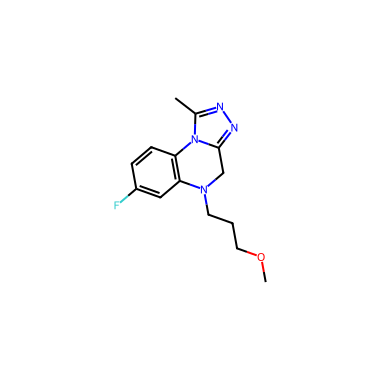 COCCCN1Cc2nnc(C)n2-c2ccc(F)cc21